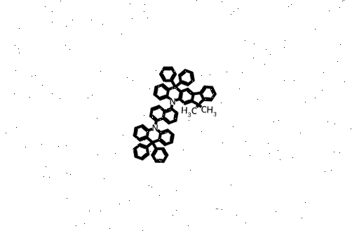 CC1(C)c2ccccc2-c2cc3c(cc21)N(c1cccc2c(N4c5ccccc5C(c5ccccc5)(c5ccccc5)c5ccccc54)cccc12)c1ccccc1C3(c1ccccc1)c1ccccc1